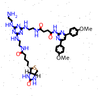 COc1ccc(-c2cc(-c3ccc(OC)cc3)nc(NC(=O)CCC(=O)NCCNc3nc(NCCN)nc(NCCNC(=O)CCCC[C@@H]4SC[C@@H]5NC(=O)N[C@@H]54)n3)n2)cc1